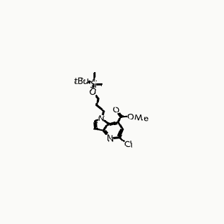 COC(=O)c1cc(Cl)nc2ccn(CCCO[Si](C)(C)C(C)(C)C)c12